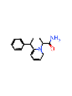 CC(C1=CC=CCN1C(C)C(N)=O)c1ccccc1